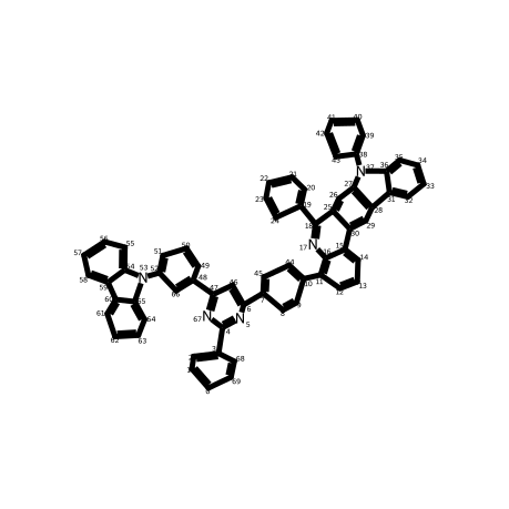 c1ccc(-c2nc(-c3ccc(-c4cccc5c4nc(-c4ccccc4)c4cc6c(cc45)c4ccccc4n6-c4ccccc4)cc3)cc(-c3cccc(-n4c5ccccc5c5ccccc54)c3)n2)cc1